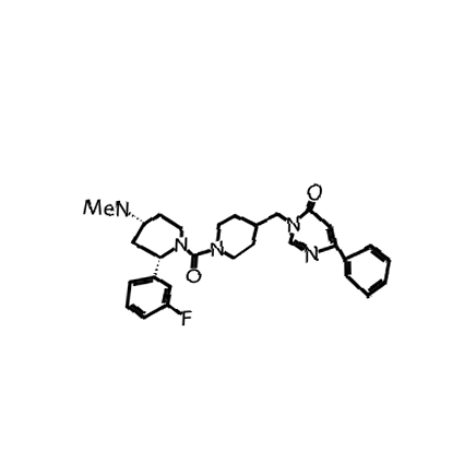 CN[C@@H]1CCN(C(=O)N2CCC(Cn3cnc(-c4ccccc4)cc3=O)CC2)[C@H](c2cccc(F)c2)C1